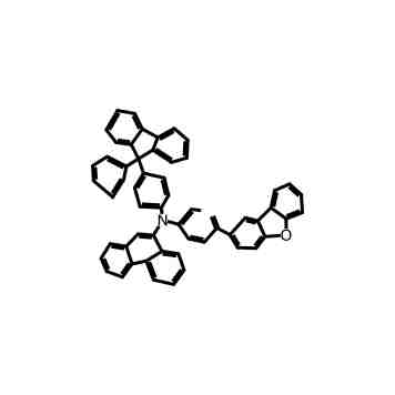 C=C(/C=C\C(=C/C)N(c1ccc(C2(c3ccccc3)c3ccccc3-c3ccccc32)cc1)c1cc2ccccc2c2ccccc12)c1ccc2oc3ccccc3c2c1